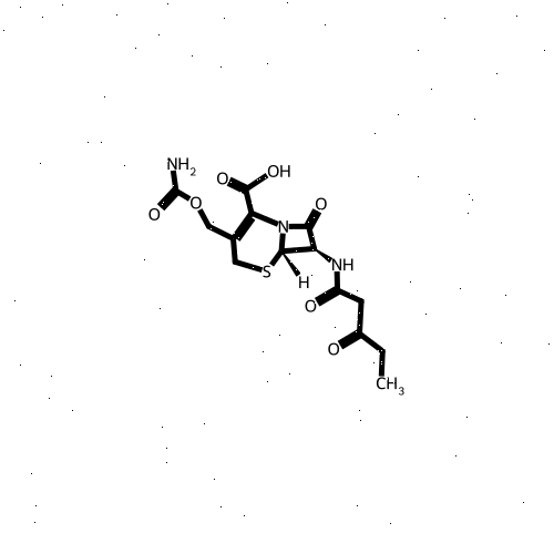 CCC(=O)CC(=O)N[C@@H]1C(=O)N2C(C(=O)O)=C(COC(N)=O)CS[C@@H]12